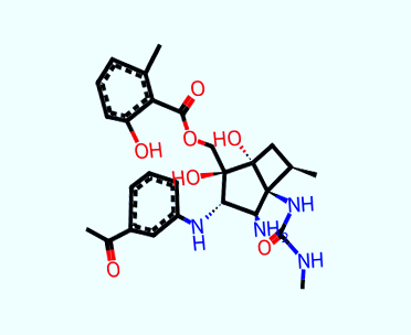 CNC(=O)N[C@]12[C@H](C)C[C@]1(O)[C@@](O)(COC(=O)c1c(C)cccc1O)[C@@H](Nc1cccc(C(C)=O)c1)[C@@H]2N